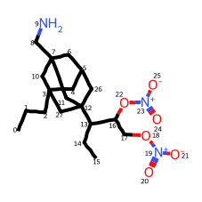 CCCC12CC3CC(CN)(C1)CC(C(CC)C(CO[N+](=O)[O-])O[N+](=O)[O-])(C3)C2